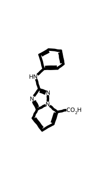 O=C(O)c1cccc2nc(Nc3ccccc3)nn12